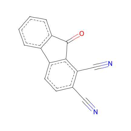 N#Cc1ccc2c(c1C#N)C(=O)c1ccccc1-2